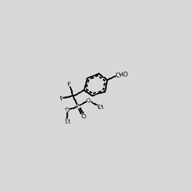 CCOP(=O)(OCC)C(F)(F)c1ccc(C=O)cc1